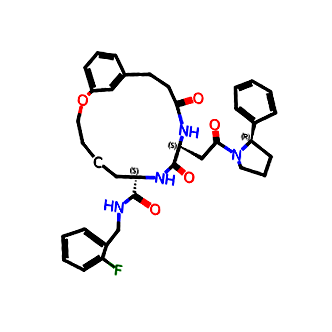 O=C1CCc2cccc(c2)OCCCC[C@@H](C(=O)NCc2ccccc2F)NC(=O)[C@H](CC(=O)N2CCC[C@@H]2c2ccccc2)N1